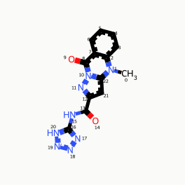 Cn1c2ccccc2c(=O)n2nc(C(=O)Nc3nnn[nH]3)cc12